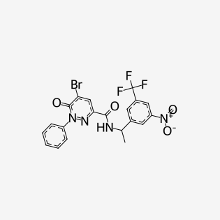 CC(NC(=O)c1cc(Br)c(=O)n(-c2ccccc2)n1)c1cc([N+](=O)[O-])cc(C(F)(F)F)c1